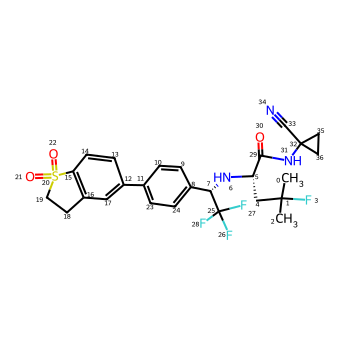 CC(C)(F)C[C@H](N[C@@H](c1ccc(-c2ccc3c(c2)CCS3(=O)=O)cc1)C(F)(F)F)C(=O)NC1(C#N)CC1